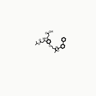 Cc1oc(-c2cccc(-c3ccccc3)c2)nc1CCOc1ccc(CCC(=O)O)c(C(N)CC(=O)OC(C)C)c1